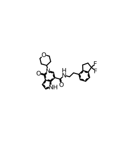 O=C(NCCc1cccc2c1CCC2(F)F)c1cn(C2CCOCC2)c(=O)c2cc[nH]c12